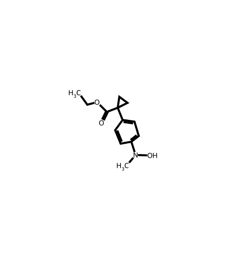 CCOC(=O)C1(c2ccc(N(C)O)cc2)CC1